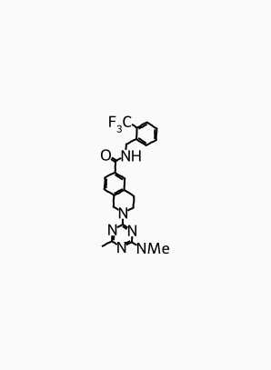 CNc1nc(C)nc(N2CCc3cc(C(=O)NCc4ccccc4C(F)(F)F)ccc3C2)n1